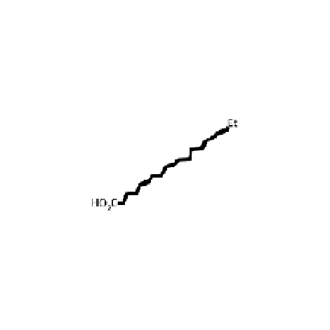 CCC=CCC=CCCCCCCCC=CCCCC(=O)O